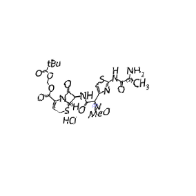 CO/N=C(\C(=O)NC1C(=O)N2C(C(=O)OCOC(=O)C(C)(C)C)=CCS[C@H]12)c1csc(NC(=O)[C@H](C)N)n1.Cl